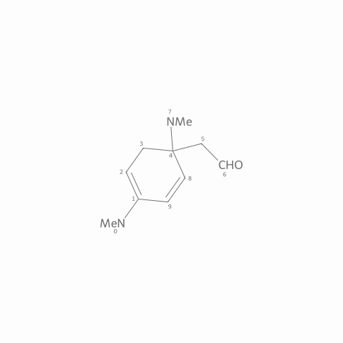 CNC1=CCC(CC=O)(NC)C=C1